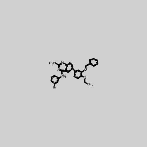 CCOc1ccc(-c2ccc3nc(N)nc(Nc4cccc(Br)c4)c3c2)cc1OCc1ccccc1